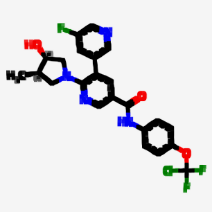 C[C@@H]1CN(c2ncc(C(=O)Nc3ccc(OC(F)(F)Cl)cc3)cc2-c2cncc(F)c2)C[C@@H]1O